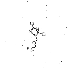 FC(F)(F)COCc1cnc(Cl)nc1Cl